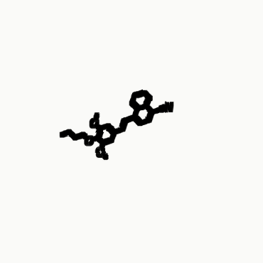 CCCCOc1c(OC)cc(/C=C/c2ccc(C#N)c3ccccc23)cc1OC